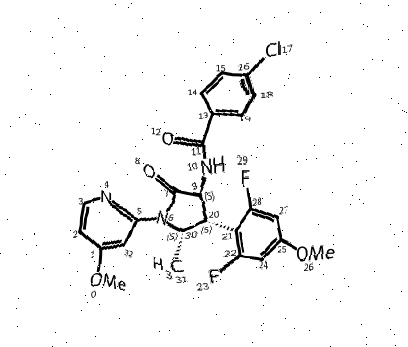 COc1ccnc(N2C(=O)[C@@H](NC(=O)c3ccc(Cl)cc3)[C@H](c3c(F)cc(OC)cc3F)[C@@H]2C)c1